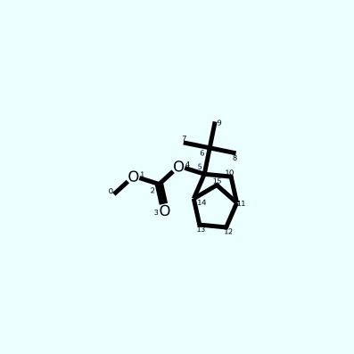 COC(=O)OC1(C(C)(C)C)CC2CCC1C2